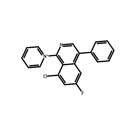 Fc1cc(Cl)c2c(-[n+]3ccccc3)ncc(-c3ccccc3)c2c1